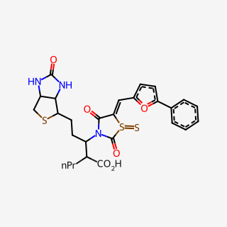 CCCC(C(=O)O)C(CCC1SCC2NC(=O)NC21)N1C(=O)/C(=C/c2ccc(-c3ccccc3)o2)S(=S)C1=O